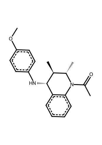 COc1ccc(N[C@H]2c3ccccc3N(C(C)=O)[C@@H](C)[C@@H]2C)cc1